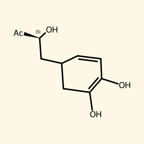 CC(=O)[C@@H](O)CC1C=CC(O)=C(O)C1